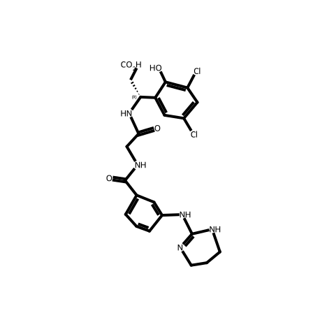 O=C(O)C[C@@H](NC(=O)CNC(=O)c1cccc(NC2=NCCCN2)c1)c1cc(Cl)cc(Cl)c1O